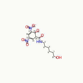 O=C(NCCCCCCO)C1C=C([N+](=O)[O-])C=C([N+](=O)[O-])C1=O